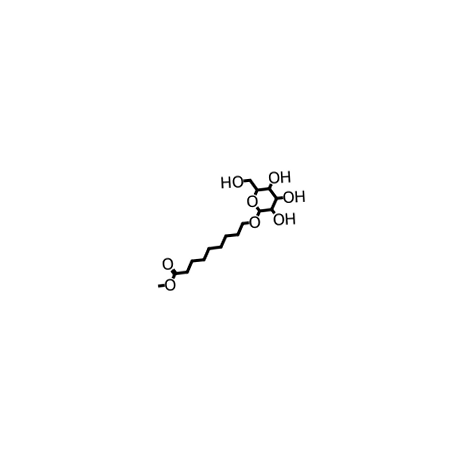 COC(=O)CCCCCCCCOC1OC(CO)C(O)C(O)C1O